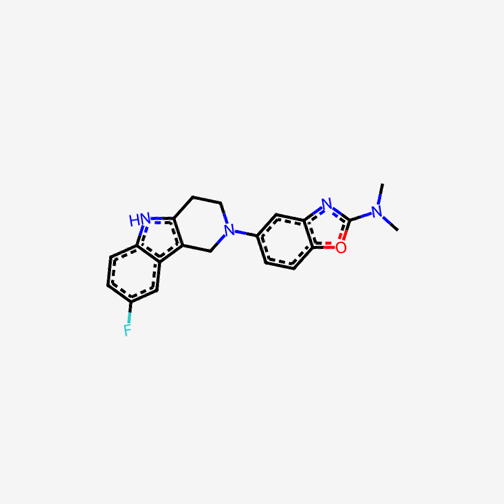 CN(C)c1nc2cc(N3CCc4[nH]c5ccc(F)cc5c4C3)ccc2o1